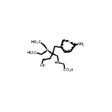 Nc1ccc(CC(CCO)(CNCC(=O)O)N(CC(=O)O)CC(=O)O)cc1